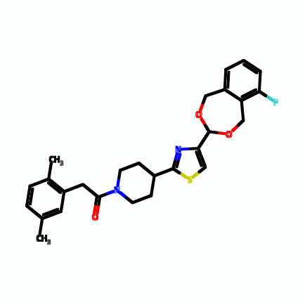 Cc1ccc(C)c(CC(=O)N2CCC(c3nc(C4OCc5cccc(F)c5CO4)cs3)CC2)c1